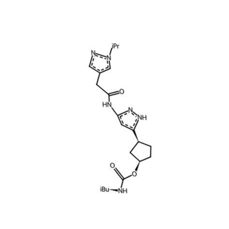 CC[C@H](C)NC(=O)O[C@@H]1CC[C@H](c2cc(NC(=O)Cc3cnn(C(C)C)c3)n[nH]2)C1